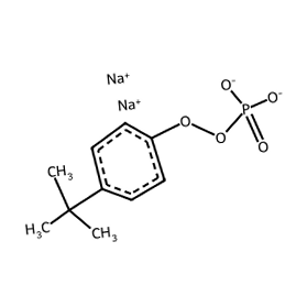 CC(C)(C)c1ccc(OOP(=O)([O-])[O-])cc1.[Na+].[Na+]